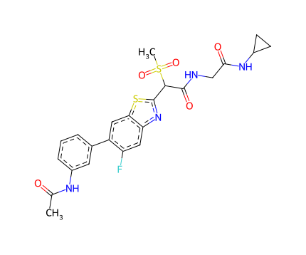 CC(=O)Nc1cccc(-c2cc3sc(C(C(=O)NCC(=O)NC4CC4)S(C)(=O)=O)nc3cc2F)c1